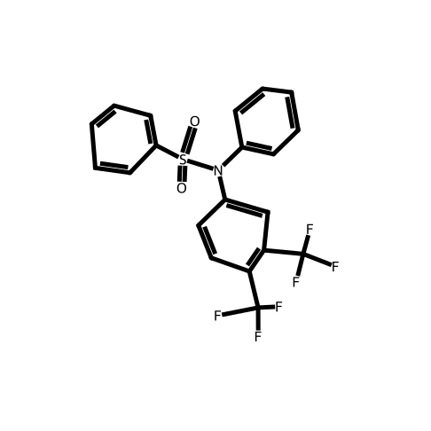 O=S(=O)(c1ccccc1)N(c1ccccc1)c1ccc(C(F)(F)F)c(C(F)(F)F)c1